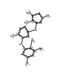 Nc1cc(C(F)(F)F)cc(Oc2ccc(C(F)(F)F)c(Oc3cc(C(F)(F)F)cc(N)c3C(F)(F)F)c2)c1C(F)(F)F